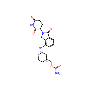 NC(=O)OC[C@H]1CCC[C@H](Nc2cccc3c2CN(C2CCC(=O)NC2=O)C3=O)C1